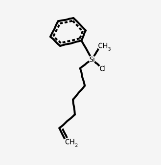 C=CCCCC[Si](C)(Cl)c1ccccc1